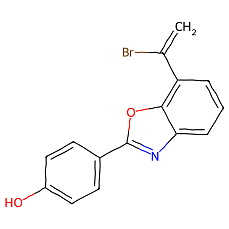 C=C(Br)c1cccc2nc(-c3ccc(O)cc3)oc12